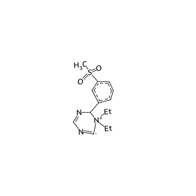 CC[N+]1(CC)[C]=NC=NC1c1cccc(S(C)(=O)=O)c1